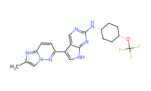 Cc1cn2nc(-c3c[nH]c4nc(N[C@H]5CC[C@@H](OC(F)(F)F)CC5)ncc34)ccc2n1